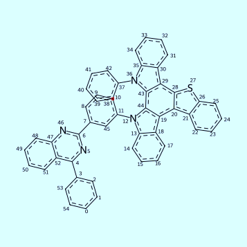 c1ccc(-c2nc(-c3cccc(-n4c5ccccc5c5c6c7ccccc7sc6c6c7ccccc7n(-c7ccccc7)c6c54)c3)nc3ccccc23)cc1